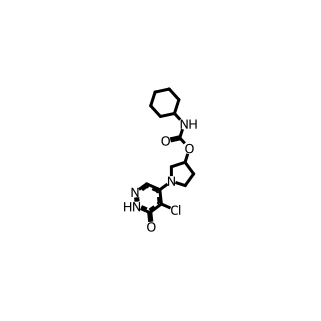 O=C(NC1CCCCC1)OC1CCN(c2cn[nH]c(=O)c2Cl)C1